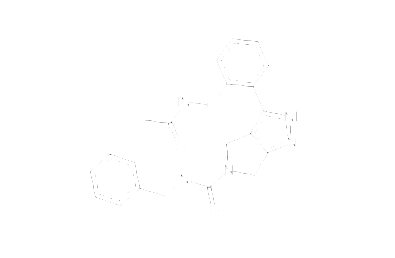 CC(=O)NOc1ccccc1-c1[nH]nc2c1CN(C(=O)NCc1ccccc1)C2